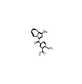 COC(=O)c1cc(C(=O)c2cc(OC)c3ccccn23)ccc1N